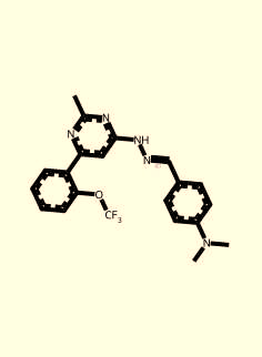 Cc1nc(N/N=C/c2ccc(N(C)C)cc2)cc(-c2ccccc2OC(F)(F)F)n1